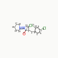 O=C1C(Cc2ccc(Cl)cc2Cl)CCN1N1CCCCC1